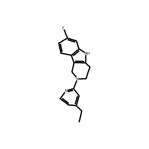 CCc1ccnc(N2CCc3[nH]c4cc(F)ccc4c3C2)c1